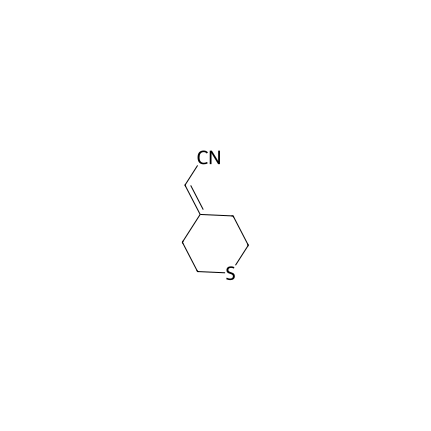 N#CC=C1CCSCC1